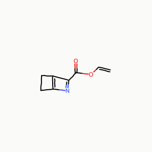 C=COC(=O)C1=NC2=C1CC2